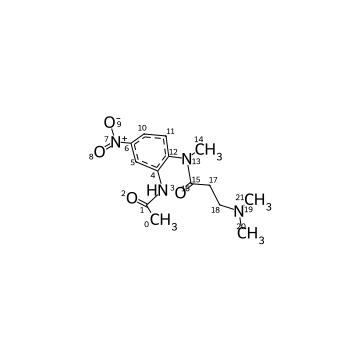 CC(=O)Nc1cc([N+](=O)[O-])ccc1N(C)C(=O)CCN(C)C